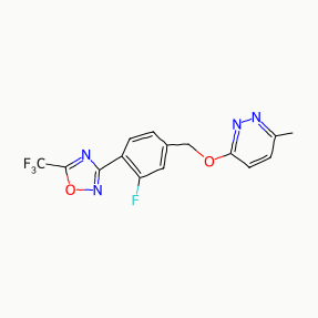 Cc1ccc(OCc2ccc(-c3noc(C(F)(F)F)n3)c(F)c2)nn1